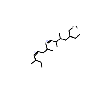 CCC(C)/C=C\CC(C)/N=C\C(C)C(C)CC(CC)CN